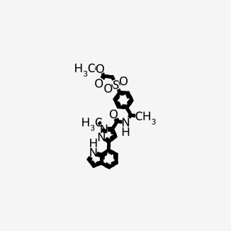 COC(=O)CS(=O)(=O)c1ccc(C(C)NC(=O)c2cc(-c3cccc4cc[nH]c34)nn2C)cc1